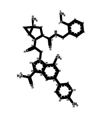 COc1ccccc1CNC(=O)[C@@H]1C[C@@]2(C)CC2N1C(=O)Cn1nc(C(C)=O)c2cc(-c3cnc(C)nc3)cc(C)c21